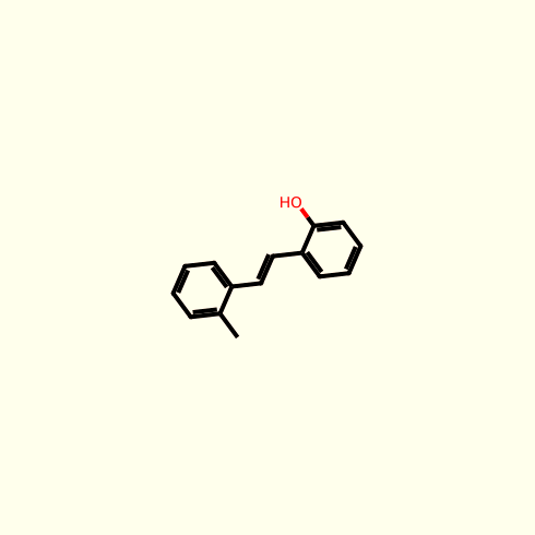 Cc1ccccc1C=Cc1ccccc1O